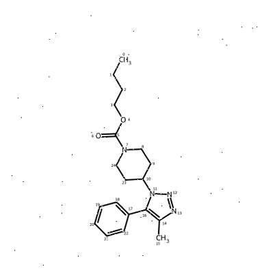 CCCCOC(=O)N1CCC(n2nnc(C)c2-c2ccccc2)CC1